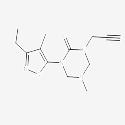 C#CCN1CN(C)CN(c2snc(CC)c2C)C1=O